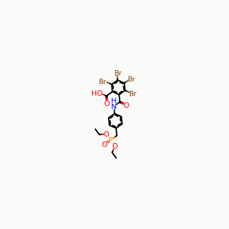 CCOP(=O)(Cc1ccc(NC(=O)c2c(Br)c(Br)c(Br)c(Br)c2C(=O)O)cc1)OCC